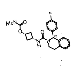 CNC(=O)O[C@H]1C[C@H](NC(=O)N2CCc3ccccc3[C@@H]2c2ccc(F)cc2)C1